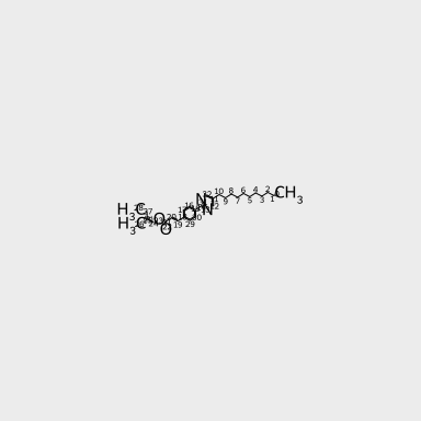 CCCCCCCCCCCc1cnc(-c2ccc(C=CC(=O)OC[C@H](C)CC)cc2)nc1